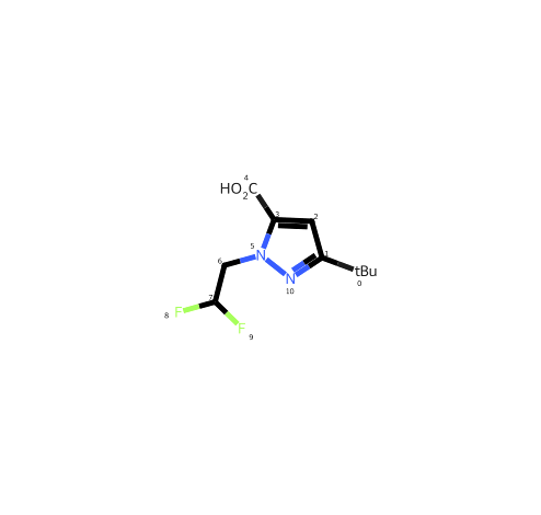 CC(C)(C)c1cc(C(=O)O)n(CC(F)F)n1